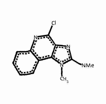 CNc1nc2c(Cl)nc3ccccc3c2n1C